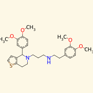 COc1ccc(CCNCCCN2CCc3sccc3C2c2ccc(OC)c(OC)c2)cc1OC